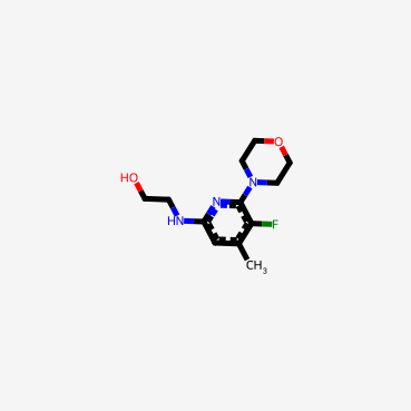 Cc1cc(NCCO)nc(N2CCOCC2)c1F